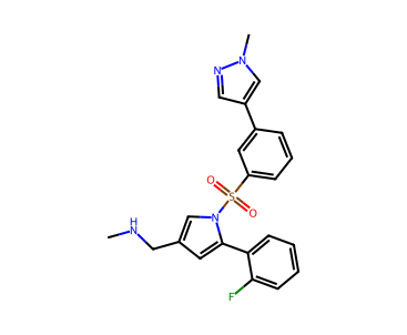 CNCc1cc(-c2ccccc2F)n(S(=O)(=O)c2cccc(-c3cnn(C)c3)c2)c1